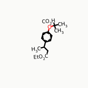 CCOC(=O)CC(C)c1ccc(OC(C)(C)C(=O)O)cc1